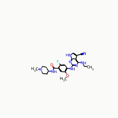 CCNc1nc(Nc2cc(F)c(C(=O)NC3CCN(C)CC3)cc2OC)nc2[nH]cc(C#N)c12